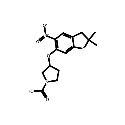 CC1(C)Cc2cc([N+](=O)[O-])c(OC3CCN(C(=O)O)C3)cc2O1